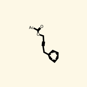 CC(=O)C(=O)OCC#CCc1ccccc1